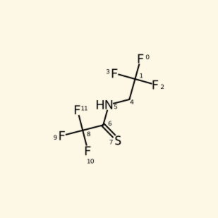 FC(F)(F)CNC(=S)C(F)(F)F